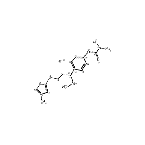 CN[C@H](CCOc1cc(C)cs1)c1ccc(OC(=O)N(C)C)cc1.Cl